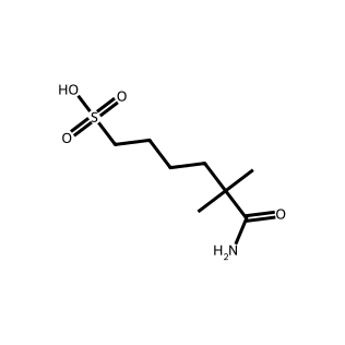 CC(C)(CCCCS(=O)(=O)O)C(N)=O